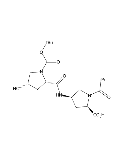 CC(C)C(=O)N1C[C@H](NC(=O)[C@@H]2C[C@H](C#N)CN2C(=O)OC(C)(C)C)C[C@@H]1C(=O)O